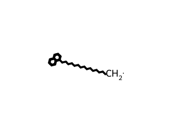 [CH2]CCCCCCCCCCCCCCCc1cccc2ccccc12